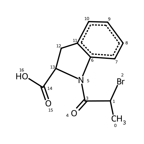 CC(Br)C(=O)N1c2ccccc2CC1C(=O)O